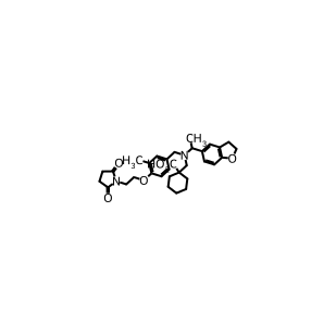 Cc1cc(CN(CC2(C(=O)O)CCCCC2)C(C)c2ccc3c(c2)CCO3)ccc1OCCN1C(=O)CCC1=O